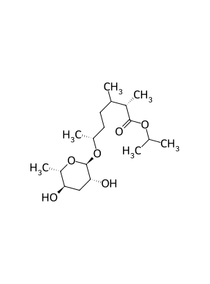 CC(C)OC(=O)[C@@H](C)C(C)CC[C@@H](C)O[C@@H]1O[C@@H](C)[C@H](O)C[C@H]1O